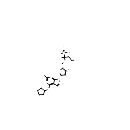 CC(CCO)(OC[C@H]1O[C@@H](n2ncc3c(NC4CCCC4)nc(Cl)nc32)[C@H](O)[C@@H]1O)P(=O)(O)O